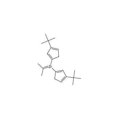 C[C](C)=[Zr]([C]1=CC(C(C)(C)C)=CC1)[C]1=CC(C(C)(C)C)=CC1